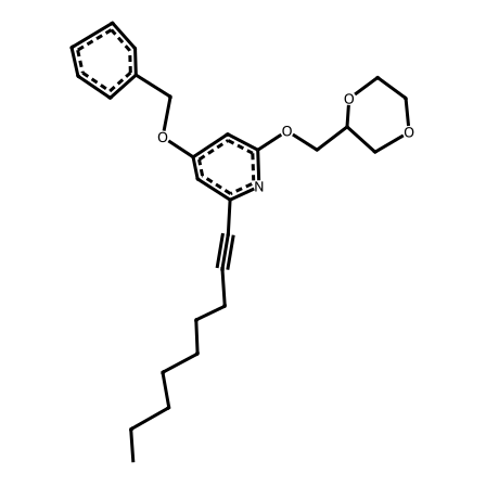 CCCCCCCC#Cc1cc(OCc2ccccc2)cc(OCC2COCCO2)n1